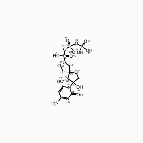 Nc1ccn(C2(O)CO[C@](CCl)(COP(=O)(O)OP(=O)(O)OP(=O)(O)O)[C@H]2O)c(=O)n1